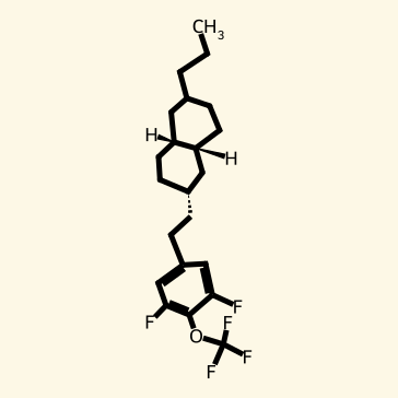 CCCC1CC[C@@H]2C[C@H](CCc3cc(F)c(OC(F)(F)F)c(F)c3)CC[C@@H]2C1